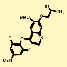 CNc1cc(F)c(Oc2ccnc3cc(OCC(C)O)c(OC)cc23)c(F)c1